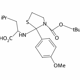 COc1ccc(C2(NC(CC(C)C)C(=O)O)SCCN2C(=O)OC(C)(C)C)cc1